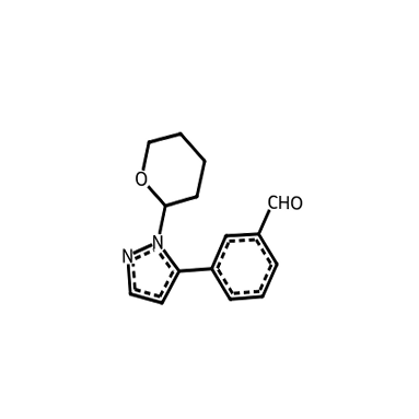 O=Cc1cccc(-c2ccnn2C2CCCCO2)c1